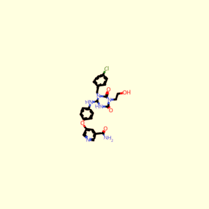 NC(=O)c1cncc(Oc2ccc(NC3NC(=O)N(CCO)C(=O)N3Cc3ccc(Cl)cc3)cc2)c1